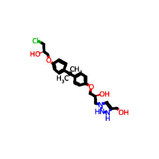 CC(C)(c1ccc(OC[C@H](O)CCl)cc1)c1ccc(OC[C@@H](O)CN2C=C(CO)NN2)cc1